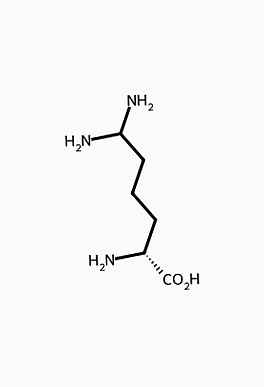 NC(N)CCC[C@@H](N)C(=O)O